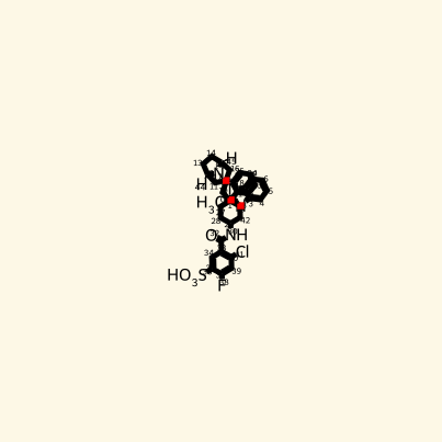 Cc1nc2ccccc2n1C1C[C@H]2CC[C@@H](C1)N2CCC1(c2ccccc2)CCC(NC(=O)c2cc(S(=O)(=O)O)c(F)cc2Cl)CC1